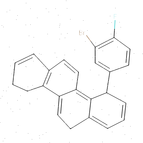 Fc1ccc(C2C=CC=C3CC=c4c5c(ccc4=C32)C=CCC5)cc1Br